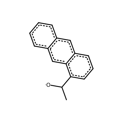 CC([O])c1cccc2cc3ccccc3cc12